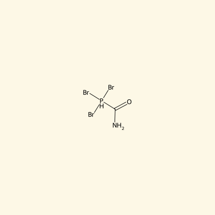 NC(=O)[PH](Br)(Br)Br